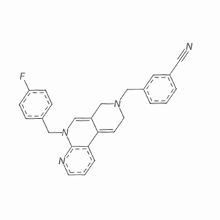 N#Cc1cccc(CN2CC=C3C(=CN(Cc4ccc(F)cc4)c4ncccc43)C2)c1